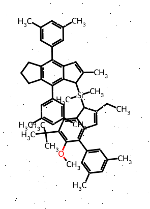 CCC1=Cc2c(cc(C(C)(C)C)c(OC)c2-c2cc(C)cc(C)c2)C1[Si](C)(C)C1C(C)=Cc2c(-c3cc(C)cc(C)c3)c3c(c(-c4cc(C)cc(C)c4)c21)CCC3